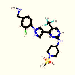 CNCc1ccc(-n2cc(-c3nc(NC4CCN(S(C)(=O)=O)CC4)ncc3C(F)(F)F)cn2)c(Cl)c1